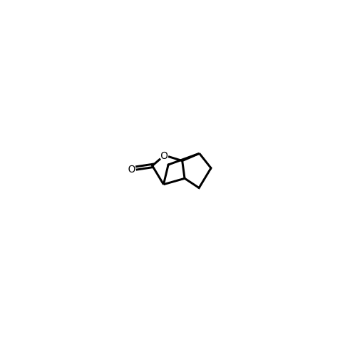 O=C1OC2C3CCC2C1C3